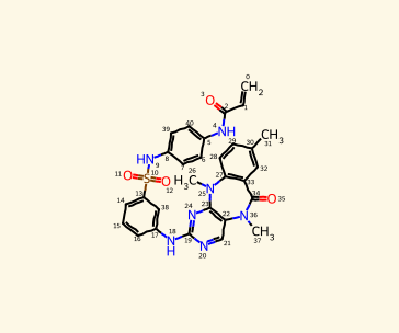 C=CC(=O)Nc1ccc(NS(=O)(=O)c2cccc(Nc3ncc4c(n3)N(C)c3ccc(C)cc3C(=O)N4C)c2)cc1